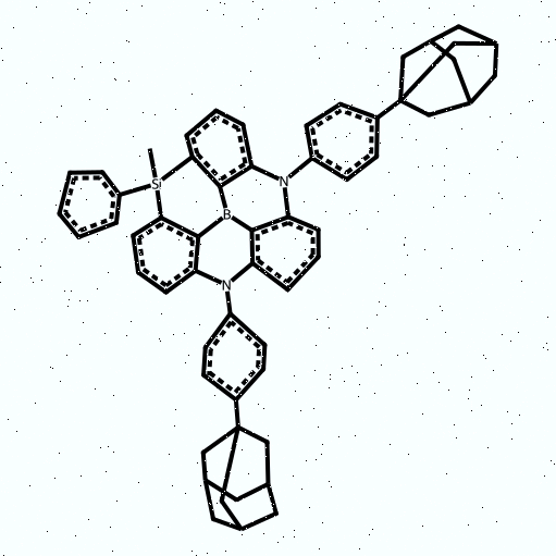 C[Si]1(c2ccccc2)c2cccc3c2B2c4c(cccc4N(c4ccc(C56CC7CC(CC(C7)C5)C6)cc4)c4cccc1c42)N3c1ccc(C23CC4CC(CC(C4)C2)C3)cc1